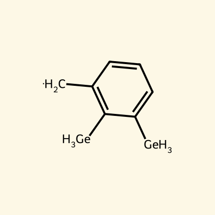 [CH2]c1ccc[c]([GeH3])[c]1[GeH3]